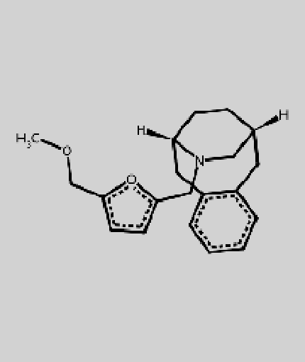 COCc1ccc(CN2C[C@@H]3CC[C@H]2Cc2ccccc2C3)o1